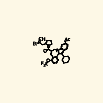 CCN(C)CC1CCCN1C(=O)C1=Cc2c(OC(F)(F)F)cccc2-c2c(C3CCCCC3)c3ccc(C(C)=O)cc3n2C1